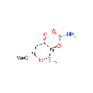 CO[C@@H]1CC(=O)[C@@H](OC(N)=O)[C@H](C)O1